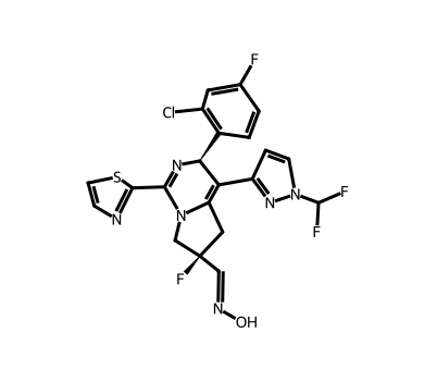 O/N=C/[C@@]1(F)CC2=C(c3ccn(C(F)F)n3)[C@H](c3ccc(F)cc3Cl)N=C(c3nccs3)N2C1